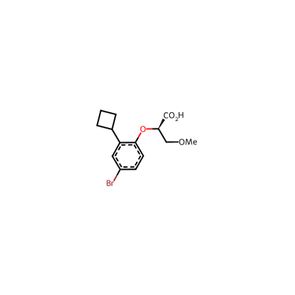 COC[C@@H](Oc1ccc(Br)cc1C1CCC1)C(=O)O